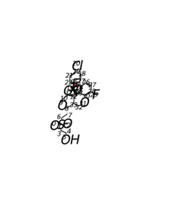 O=S(=O)(CCO)CC[C@@H]1OCC[C@@]2(S(=O)(=O)c3ccc(Cl)cc3)c3c(F)ccc(F)c3OCC12